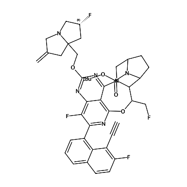 C#Cc1c(F)ccc2cccc(-c3nc4c5c(nc(OCC67CC(=C)CN6C[C@H](F)C7)nc5c3F)N3CC5CCC(C3C(CF)O4)N5C(=O)OC(C)(C)C)c12